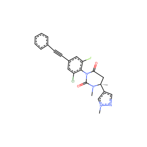 CN1C(=O)N(c2c(F)cc(C#Cc3ccccc3)cc2Cl)C(=O)C[C@@]1(C)c1cnn(C)c1